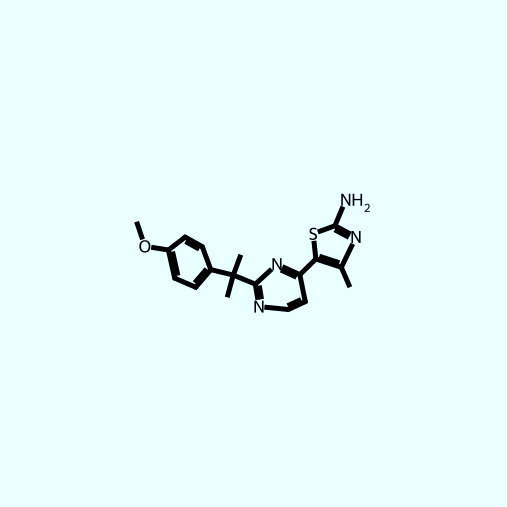 COc1ccc(C(C)(C)c2nccc(-c3sc(N)nc3C)n2)cc1